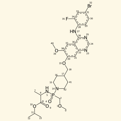 COCP(=O)(NC(C)C(=O)OC(C)C)N1CCC(COc2cc3ncnc(Nc4ccc(Br)cc4F)c3cc2OC)CC1